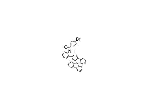 O=C(Nc1ccccc1-c1ccc2c(c1)C1(c3ccccc3-c3ccccc31)c1ccccc1-2)c1ccc(Br)cc1